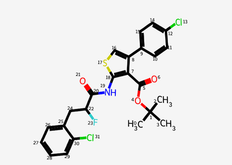 CC(C)(C)OC(=O)c1c(-c2ccc(Cl)cc2)csc1NC(=O)C(F)Cc1ccccc1Cl